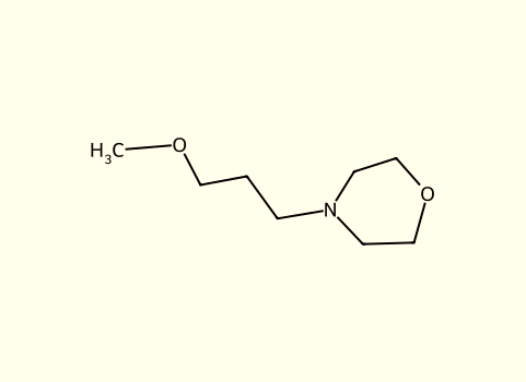 COCCCN1CCOCC1